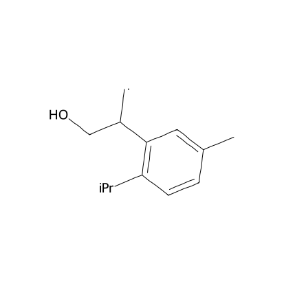 [CH2]C(CO)c1cc(C)ccc1C(C)C